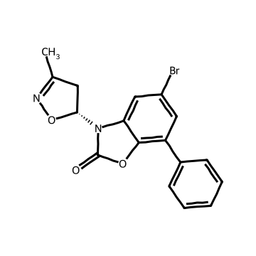 CC1=NO[C@@H](n2c(=O)oc3c(-c4ccccc4)cc(Br)cc32)C1